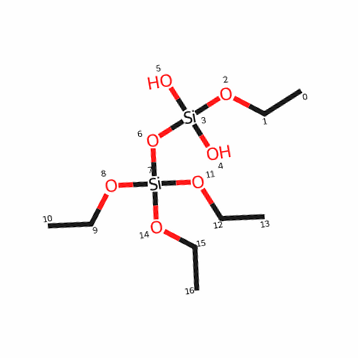 CCO[Si](O)(O)O[Si](OCC)(OCC)OCC